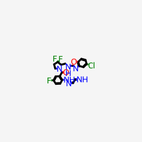 N=C/C=N\Nc1ccc(F)cc1C(=O)N1CCC(F)(F)C1CNc1nc2cc(Cl)ccc2o1